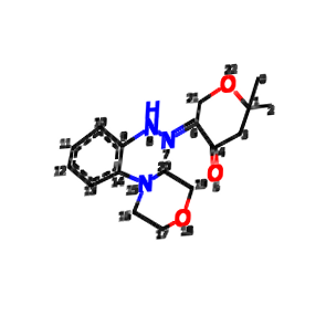 CC1(C)CC(=O)/C(=N/Nc2ccccc2N2CCOCC2)CO1